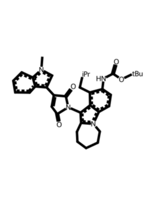 CC(C)Cc1c(NC(=O)OC(C)(C)C)ccc2c1c(N1C(=O)C=C(c3cn(C)c4ccccc34)C1=O)c1n2CCCCC1